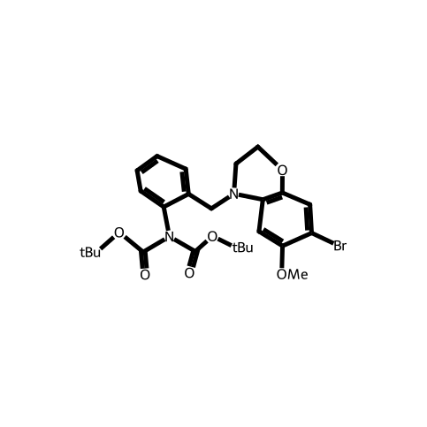 COc1cc2c(cc1Br)OCCN2Cc1ccccc1N(C(=O)OC(C)(C)C)C(=O)OC(C)(C)C